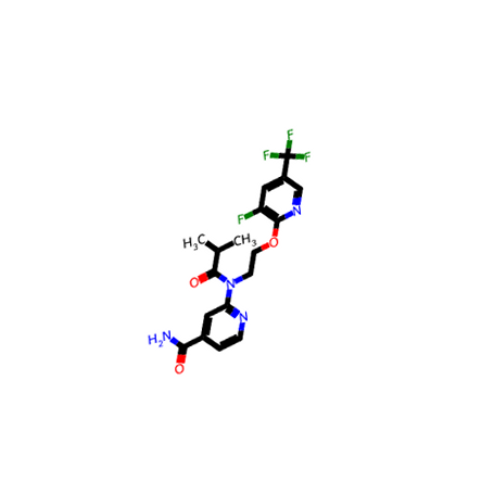 CC(C)C(=O)N(CCOc1ncc(C(F)(F)F)cc1F)c1cc(C(N)=O)ccn1